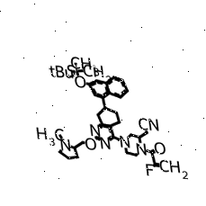 C=C(F)C(=O)N1CCN(c2nc(OCC3CCCN3C)nc3c2CCC(c2cc(O[Si](C)(C)C(C)(C)C)cc4ccccc24)C3)CC1CC#N